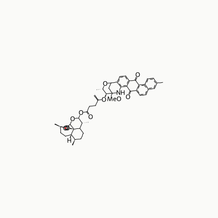 C=C(CCC(=O)OC1OC2O[C@]3(C)CC[C@H]4[C@H](C)CCC([C@H]1C)[C@@]24OO3)O[C@H]1[C@H](C)OC2CC1(OC)Nc1c2ccc2c1C(=O)c1ccc3cc(C)ccc3c1C2=O